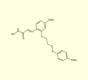 COc1ccc(OOCCOc2cc(OC)ccc2/C=C/C(=O)NO)cc1